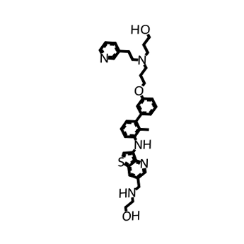 Cc1c(Nc2csc3cc(CNCCO)cnc23)cccc1-c1cccc(OCCCN(CCCO)CCc2cccnc2)c1